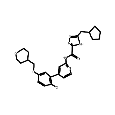 O=C(Nc1cc(-c2cc(OCC3CCOCC3)ccc2Cl)ccn1)c1nnc(CC2CCCC2)[nH]1